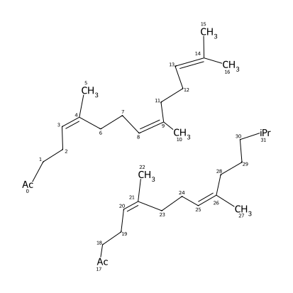 CC(=O)CCC=C(C)CCC=C(C)CCC=C(C)C.CC(=O)CCC=C(C)CCC=C(C)CCCC(C)C